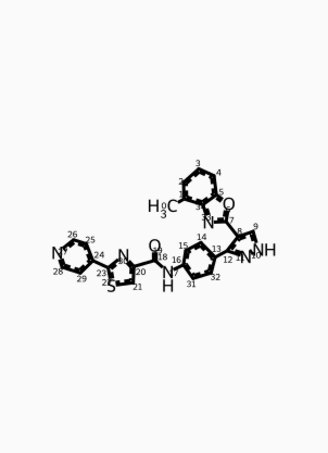 Cc1cccc2oc(-c3c[nH]nc3-c3ccc(NC(=O)c4csc(-c5ccncc5)n4)cc3)nc12